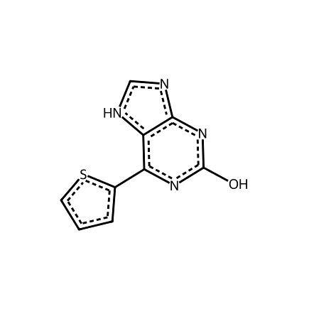 Oc1nc(-c2cccs2)c2[nH]cnc2n1